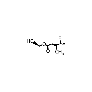 C#CCOC(=O)/C=C(\C)C(F)F